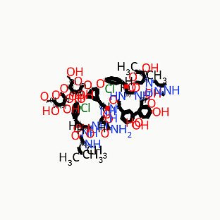 CN[C@H](CC(C)C)C(=O)N[C@H]1C(=O)N[C@@H](CC(N)=O)C(=O)N[C@H]2C(=O)NC3C(=O)N[C@H](C(=O)N[C@@H](C(=O)O)c4cc(O)cc(O)c4-c4cc3ccc4O)[C@H](OC3C[C@](C)(NCc4c[nH]cn4)[C@@H](O)[C@H](C)O3)c3ccc(c(Cl)c3)Oc3cc2cc(c3O[C@@H]2O[C@H](CO)[C@@H](OC3O[C@H](C=O)[C@H](O)[C@H](O)[C@H]3O)[C@H](O)[C@H]2O)Oc2ccc(cc2Cl)[C@H]1O